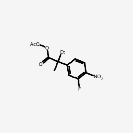 CCC(C)(C(=O)OOC(C)=O)c1ccc([N+](=O)[O-])c(F)c1